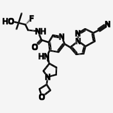 CC(C)(O)[C@H](F)CNC(=O)c1cnc(-c2ccc3cc(C#N)cnn23)cc1N[C@H]1CCN(C2COC2)C1